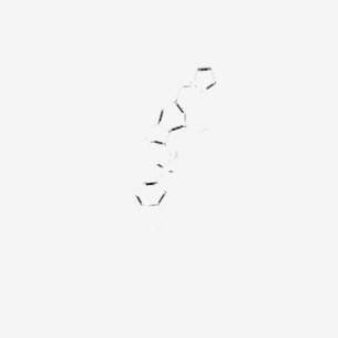 COc1cccc(S(=O)(=O)Nc2noc3cc(Cn4cccn4)cc(OC)c23)c1